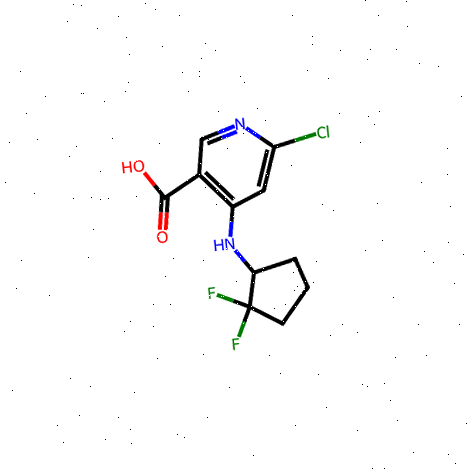 O=C(O)c1cnc(Cl)cc1NC1CCCC1(F)F